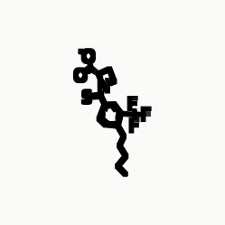 CCCCCc1ccc(C(=S)N2CC[C@@H]2C(=O)OC)cc1C(F)(F)F